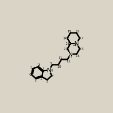 c1ccc2c(c1)CCN2CCCCN1CCN2CCCCC2C1